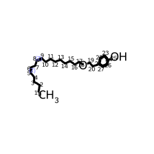 CCCCC/C=C\C/C=C\CCCCCCCCOCCc1ccc(O)cc1